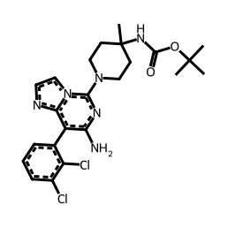 CC1(NC(=O)OC(C)(C)C)CCN(c2nc(N)c(-c3cccc(Cl)c3Cl)c3nccn23)CC1